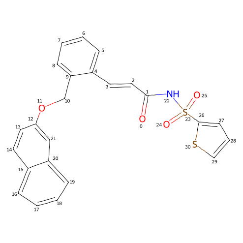 O=C(C=Cc1ccccc1COc1ccc2ccccc2c1)NS(=O)(=O)c1cccs1